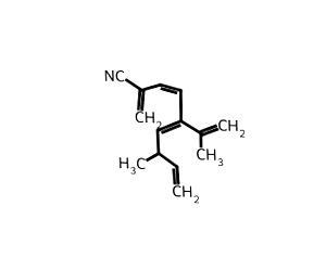 C=CC(C)/C=C(/C=C\C(=C)C#N)C(=C)C